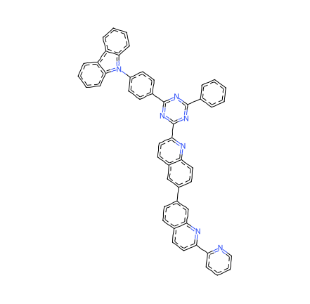 c1ccc(-c2nc(-c3ccc(-n4c5ccccc5c5ccccc54)cc3)nc(-c3ccc4cc(-c5ccc6ccc(-c7ccccn7)nc6c5)ccc4n3)n2)cc1